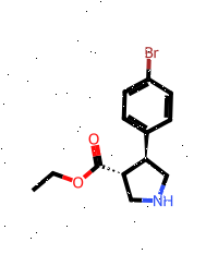 CCOC(=O)[C@H]1CNC[C@@H]1c1ccc(Br)cc1